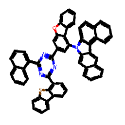 c1ccc2cc3c(cc2c1)c1c2ccccc2ccc1n3-c1cc(-c2nc(-c3cccc4ccccc34)nc(-c3cccc4c3sc3ccccc34)n2)cc2oc3ccccc3c12